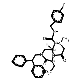 CN1CC(=O)N2[C@@H](CC(=O)O)C(=O)N(CC(c3ccccc3)c3ccccc3)C[C@@H]2N1C(=O)NCc1ccc(F)cc1